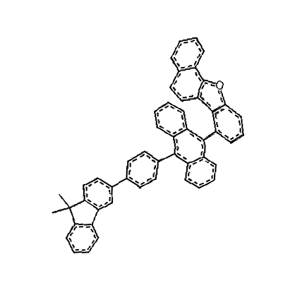 CC1(C)c2ccccc2-c2cc(-c3ccc(-c4c5ccccc5c(-c5cccc6oc7c8ccccc8ccc7c56)c5ccccc45)cc3)ccc21